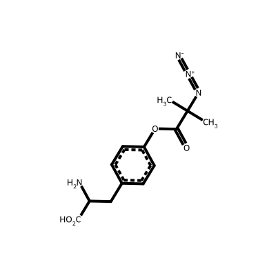 CC(C)(N=[N+]=[N-])C(=O)Oc1ccc(CC(N)C(=O)O)cc1